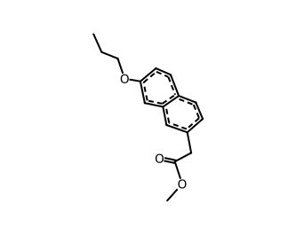 CCCOc1ccc2ccc(CC(=O)OC)cc2c1